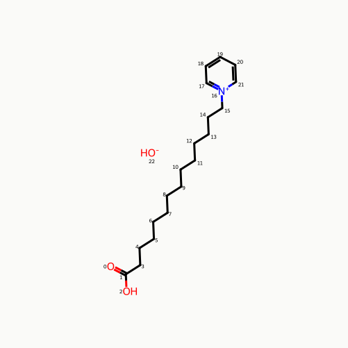 O=C(O)CCCCCCCCCCCCC[n+]1ccccc1.[OH-]